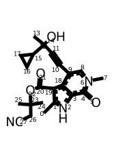 Cc1[nH]c2c(=O)n(C)cc(C#CC(C)(O)C3CC3)c2c1C(=O)OC(C)(C)CC#N